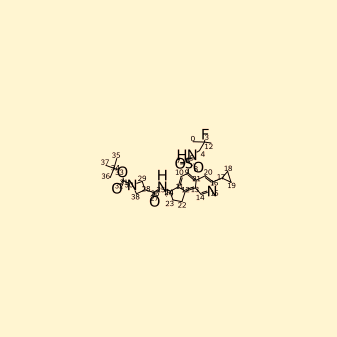 CC(C)(F)CNS(=O)(=O)c1cc2c(c3cnc(C4CC4)cc13)CC[C@H]2NC(=O)C1CN(C(=O)OC(C)(C)C)C1